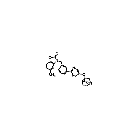 Cc1ccc2oc(=O)n(Cc3cccc(-c4ncc(OC5CN6CCC5CC6)cn4)c3)c2n1